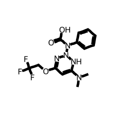 CN(C)C1=CC(OCC(F)(F)F)=NN(N(C(=O)O)c2ccccc2)N1